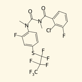 CN(C(=O)c1cccc(F)c1Cl)C(=O)N(C)c1ccc(SC(F)(F)C(F)(F)C(F)(F)F)cc1F